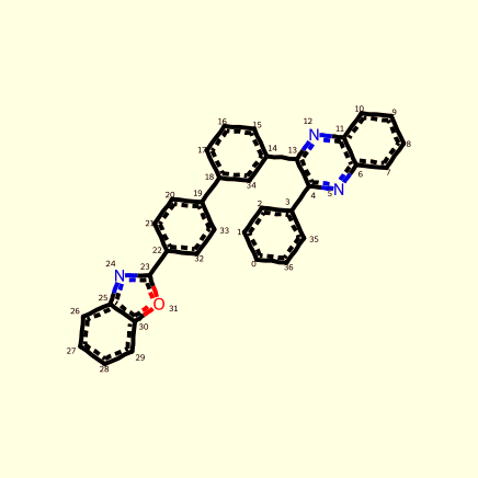 c1ccc(-c2nc3ccccc3nc2-c2cccc(-c3ccc(-c4nc5ccccc5o4)cc3)c2)cc1